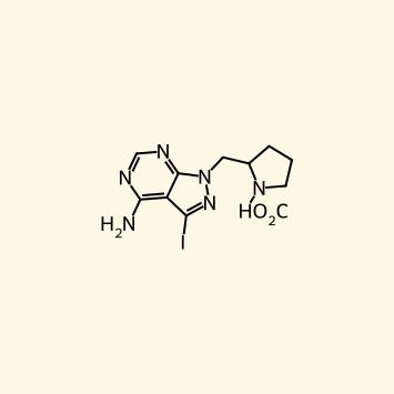 Nc1ncnc2c1c(I)nn2CC1CCCN1C(=O)O